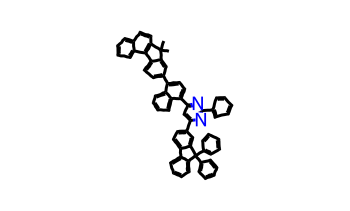 CC1(C)c2cc(-c3ccc(-c4cc(-c5ccc6c(c5)C(c5ccccc5)(c5ccccc5)c5ccccc5-6)nc(-c5ccccc5)n4)c4ccccc34)ccc2-c2c1ccc1ccccc21